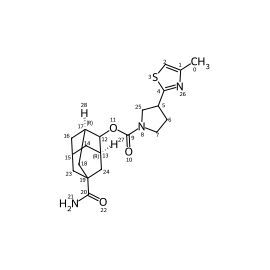 Cc1csc(C2CCN(C(=O)OC3[C@@H]4CC5C[C@@H]3CC(C(N)=O)(C5)C4)C2)n1